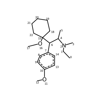 CCN(C)C(C)C(c1ccc(OC)cc1)C1(OC)CCCCC1